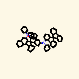 C1=CC2c3ccccc3C3(c4ccccc4-c4c(N(c5ccccc5)c5ccc6c(c5)-c5ccccc5C65c6ccccc6-c6c5c(N(c5ccccc5)c5ccccc5)cc5ccccc65)cccc43)C2C=C1